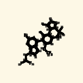 Cc1c(-c2cc(F)cc3c2cnn3CC(F)F)c(OC(F)(F)F)cc2c1-n1c(C)nnc1C(C)(C)N2